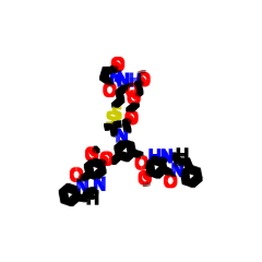 COCCOCCOCCN(CC(C)(C)SSCCCC(=O)NN1C(=O)C=CC1=O)c1cc(COc2cc3c(cc2OC)C(=O)N2c4ccccc4C[C@H]2C=N3)cc(COc2cc3c(cc2OC)C(=O)N2c4ccccc4C[C@H]2CN3)c1